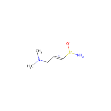 CN(C)C/C=C/[S+](N)[O-]